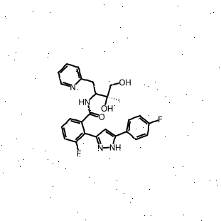 C[C@@](O)(CO)C(Cc1ccccn1)NC(=O)c1cccc(F)c1-c1cc(-c2ccc(F)cc2)[nH]n1